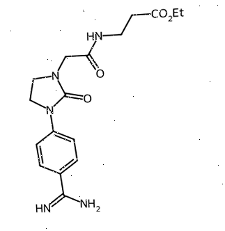 CCOC(=O)CCNC(=O)CN1CCN(c2ccc(C(=N)N)cc2)C1=O